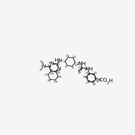 CN(C)c1nc(N[C@H]2CC[C@@H](NC(=S)Nc3cccc(C(=O)O)c3)CC2)nc2c1CCCC2